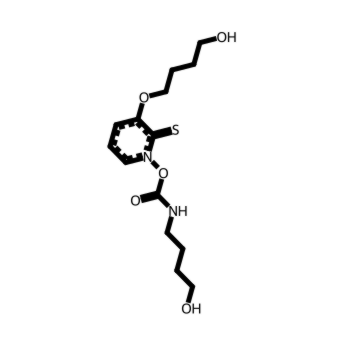 O=C(NCCCCO)On1cccc(OCCCCO)c1=S